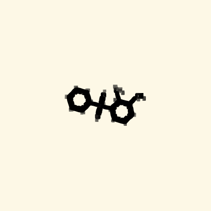 Cc1cccc(S(=O)(=O)c2ccccc2)c1C